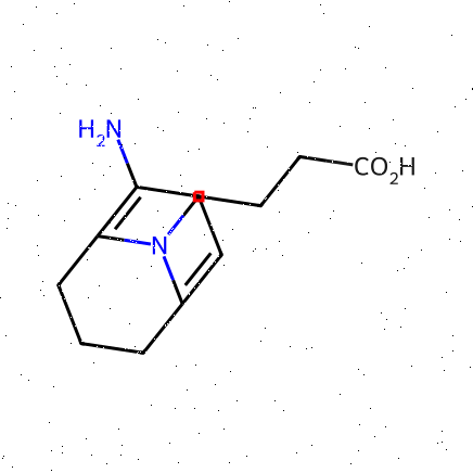 NC1=C2CCCC(=CC1)N2CCCC(=O)O